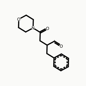 O=[C]C(CC(=O)N1CCOCC1)Cc1ccccc1